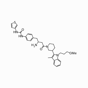 COCCCn1c(C2CCCN(C(=O)CC(N)Cc3ccc(NC(=O)Nc4ccsc4)cc3)C2)c(C)c2ccccc21